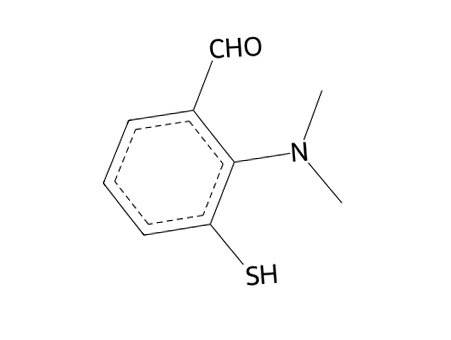 CN(C)c1c(S)cccc1C=O